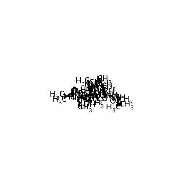 CCCCC(NC(=O)[C@@H]1CCCN1C(=O)/C=C/C(C)CC)C(=O)NC(C(=O)NC(C)(C)C(=O)NC(CC(C)C)C(=O)NC(CC(C)C)C(=O)NC(C)(C)C(=O)NC(C)(C)C(=O)NCCC(=O)NC(C)CN(C)C)C(O)C(C)C